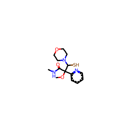 CNC(=O)C(OC)(c1ccccn1)C(S)N1CCOCC1